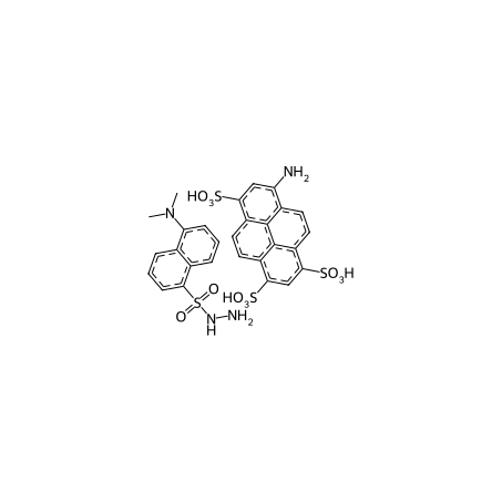 CN(C)c1cccc2c(S(=O)(=O)NN)cccc12.Nc1cc(S(=O)(=O)O)c2ccc3c(S(=O)(=O)O)cc(S(=O)(=O)O)c4ccc1c2c43